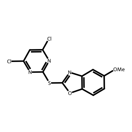 COc1ccc2oc(Sc3nc(Cl)cc(Cl)n3)nc2c1